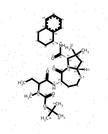 CCC(C(=O)N[C@H]1CCS[C@H]2CC(C)(C)[C@@H](C(=O)N[C@@H]3CCCc4ccccc43)N2C1=O)N(C)C(=O)OC(C)(C)C